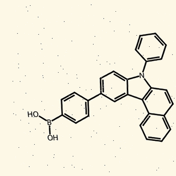 OB(O)c1ccc(-c2ccc3c(c2)c2c4ccccc4ccc2n3-c2ccccc2)cc1